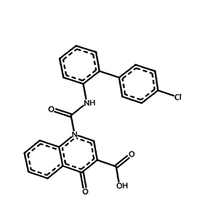 O=C(O)c1cn(C(=O)Nc2ccccc2-c2ccc(Cl)cc2)c2ccccc2c1=O